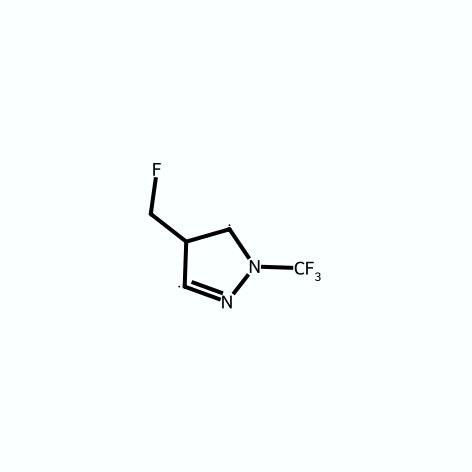 FCC1[C]=NN(C(F)(F)F)[CH]1